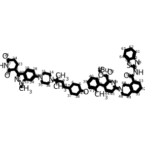 Cc1c(OC2CCC(CCC(C)(C)N3CCN(c4ccc5c(C6CCC(=O)NC6=O)nn(C)c5c4)CC3)CC2)cccc1-c1ccc(N2CCc3cccc(C(=O)Nc4nc5ccccc5s4)c3C2)nc1C(=O)OC(C)(C)C